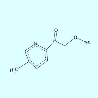 CCOCC(=O)c1ccc(C)cn1